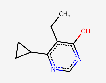 CCc1c(O)ncnc1C1CC1